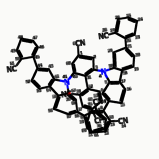 N#Cc1cc(-n2c3cc(-c4ccccc4C#N)ccc3c3ccc(-c4ccccc4C#N)cc32)c(-c2ccc(C(F)(F)F)cc2C#N)c(-n2c3cc(-c4ccccc4C#N)ccc3c3ccc(-c4ccccc4C#N)cc32)c1